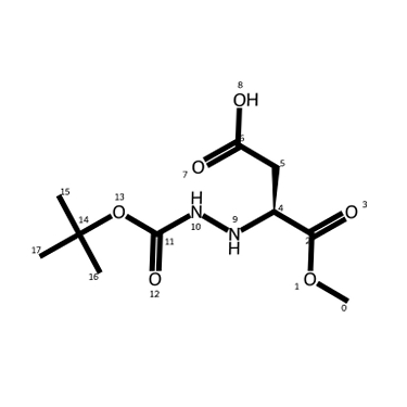 COC(=O)[C@H](CC(=O)O)NNC(=O)OC(C)(C)C